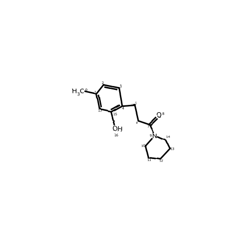 Cc1ccc(CCC(=O)N2CCCCC2)c(O)c1